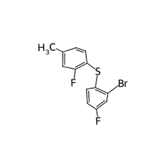 Cc1ccc(Sc2ccc(F)cc2Br)c(F)c1